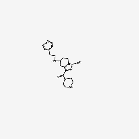 CCCn1nc(C(=O)N2CCNCC2)c2c1CCC(NCCc1ccncc1)C2